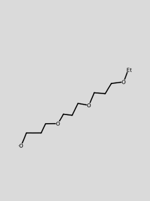 CCOCCCOCCCOCCC[O]